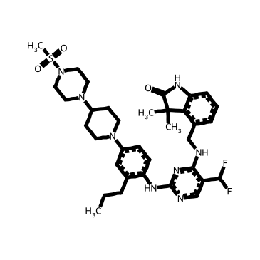 CCCc1cc(N2CCC(N3CCN(S(C)(=O)=O)CC3)CC2)ccc1Nc1ncc(C(F)F)c(NCc2cccc3c2C(C)(C)C(=O)N3)n1